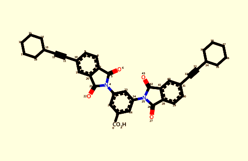 O=C(O)c1cc(N2C(=O)c3ccc(C#CC4CCCCC4)cc3C2=O)cc(N2C(=O)c3ccc(C#CC4CCCCC4)cc3C2=O)c1